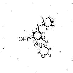 O=Cc1cc(CN2CCOCC2)cc(CN2CCOCC2)c1O